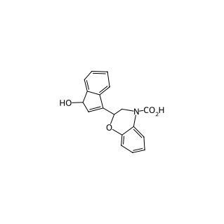 O=C(O)N1CC(C2=CC(O)c3ccccc32)Oc2ccccc21